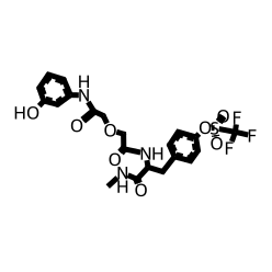 CNC(=O)C(Cc1ccc(OS(=O)(=O)C(F)(F)F)cc1)NC(=O)COCC(=O)Nc1cccc(O)c1